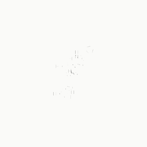 CC(C)(C)OC(=O)CCOC(=O)C1N2C(=O)[C@@H](NC(=O)Cc3ccccc3)[C@H]2SC1(C)C